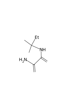 C=C(N)C(=C)NC(C)(C)CC